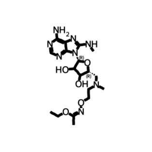 CCOC(C)=NOCCN(C)C[C@H]1O[C@@H](n2c(NC)nc3c(N)ncnc32)C(O)C1O